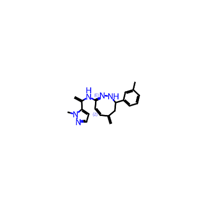 C=C1/C=C\C(NC(=C)c2ccnn2C)=N/NC(c2cccc(C)c2)C1